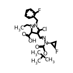 CCN1C(C(=O)O)C(C=NN(C(=O)OC(C)(C)C)[C@H]2C[C@@H]2F)=C(Cl)N1Cc1ccccc1F